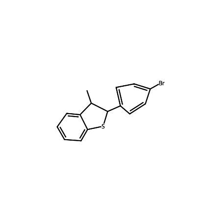 CC1c2ccccc2SC1c1ccc(Br)cc1